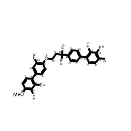 COc1ccc(-c2ccc(OCCC(F)(F)c3ccc(-c4ccc(C)c(F)c4F)cc3)c(F)c2)c(F)c1F